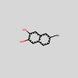 CCC(C)c1ccc2cc(O)c(O)cc2c1